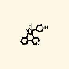 c1ccc2c(c1)c1cnccc1c1c(C3CCNCC3)[nH]nc21